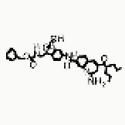 CCCC(CCC)C(=O)C1=Cc2ccc(C(=O)Nc3ccc4c(c3)B(O)OC4CNC(=O)OCc3ccccc3)cc2N=C(N)C1